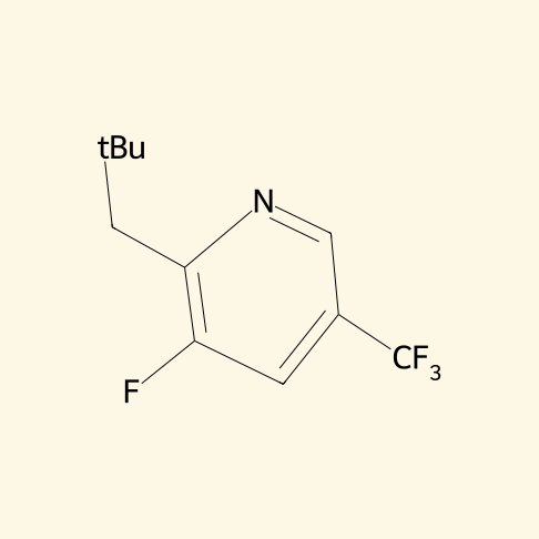 CC(C)(C)Cc1ncc(C(F)(F)F)cc1F